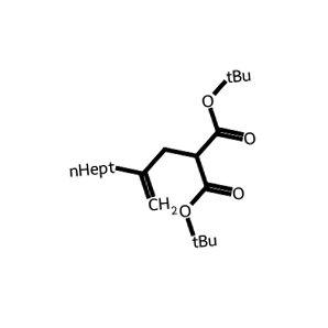 C=C(CCCCCCC)CC(C(=O)OC(C)(C)C)C(=O)OC(C)(C)C